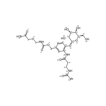 BC(=O)COCNC(=O)OCc1ccc(O[C@@H]2O[C@H](CO)[C@H](O)[C@H](O)[C@H]2O)c(NC(=O)CCNC(=O)C(C)C)c1